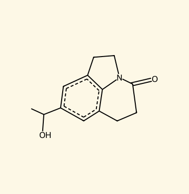 CC(O)c1cc2c3c(c1)CCN3C(=O)CC2